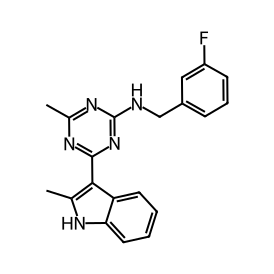 Cc1nc(NCc2cccc(F)c2)nc(-c2c(C)[nH]c3ccccc23)n1